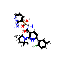 Cc1ccc(F)c(-c2ccc(C(=O)NS(=O)(=O)c3cccnc3N)c(N3C[C@@H](C)CC3(C)C)n2)c1